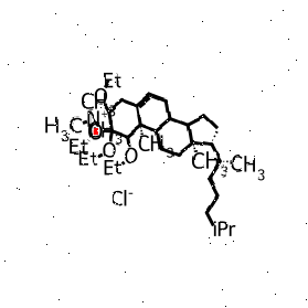 CCOC1C(OCC)(OCC)C(OCC)([N+](C)(C)C)CC2=CCC3C(CC[C@@]4(C)C3CC[C@@H]4[C@H](C)CCCC(C)C)[C@]21C.[Cl-]